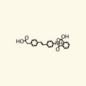 O=C(O)Cc1ccc(/C=C/c2ccc(NC(=O)c3ccccc3C(=O)O)cc2)cc1